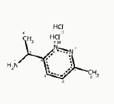 Cc1ccc(C(C)N)nn1.Cl.Cl